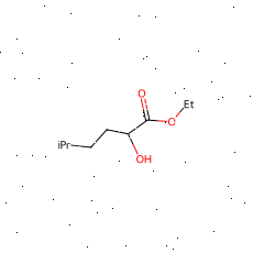 CCOC(=O)C(O)CCC(C)C